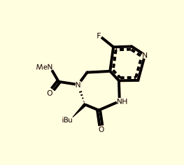 CC[C@H](C)[C@H]1C(=O)Nc2cncc(F)c2CN1C(=O)NC